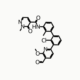 COc1nc(-c2cccc(-c3cccc(NC(=O)c4ccnn(C)c4=O)c3C)c2Cl)ccc1C=O